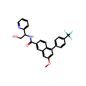 COc1cc(-c2ccc(C(F)(F)F)cc2)c2ccc(C(=O)NC(CO)c3ccccn3)cc2c1